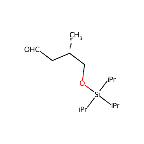 CC(C)[Si](OC[C@@H](C)CC=O)(C(C)C)C(C)C